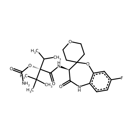 CC(C)[C@@](OC(N)=O)(C(=O)N[C@@H]1C(=O)Nc2ccc(F)cc2OC12CCOCC2)C(C)(C)C